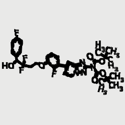 CC(C)(C)OC(=O)N(C(=O)OC(C)(C)C)c1nc2cc(-c3cccc(OCCC(F)(F)C(O)c4ccc(F)cc4)c3F)ccn2n1